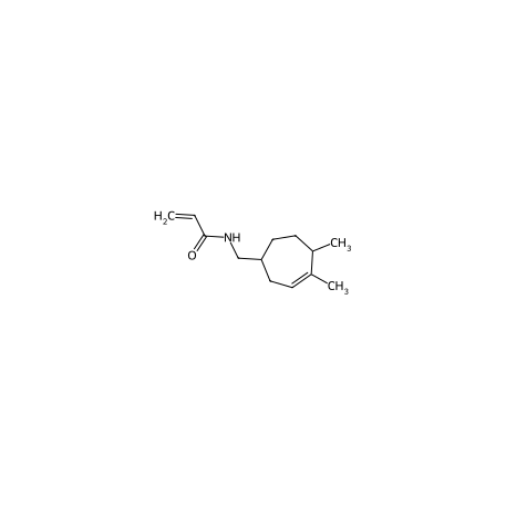 C=CC(=O)NCC1CC=C(C)C(C)CC1